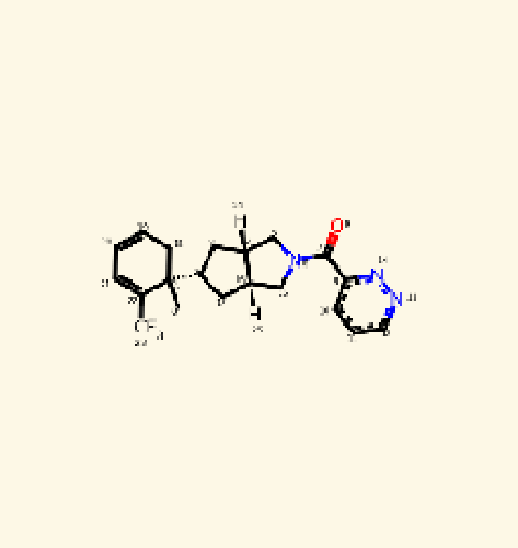 CC1([C@@H]2C[C@@H]3CN(C(=O)c4cccnn4)C[C@@H]3C2)CC=CC=C1C(F)(F)F